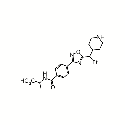 CCC(c1nc(-c2ccc(C(=O)NC(C)C(=O)O)cc2)no1)C1CCNCC1